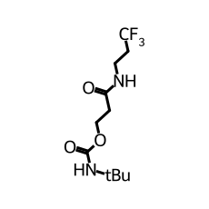 CC(C)(C)NC(=O)OCCC(=O)NCCC(F)(F)F